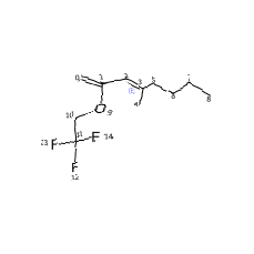 C=C(/C=C(\C)CCCC)OCC(F)(F)F